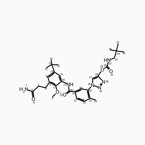 COc1c(CCC(N)=O)cc(C(C)(C)C)cc1NC(=O)c1ccc(C)c(-n2cc(OC(=O)NCC(C)(C)C)nn2)c1